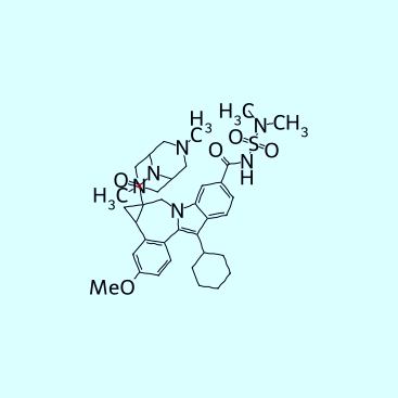 COc1ccc2c(c1)C1CC1(C(=O)N1C3CN(C)CC1CN(C)C3)Cn1c-2c(C2CCCCC2)c2ccc(C(=O)NS(=O)(=O)N(C)C)cc21